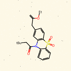 C=C(Cc1ccc2c(c1)N(C(=O)CC(C)(C)C)c1ccccc1S2(=O)=O)OCC